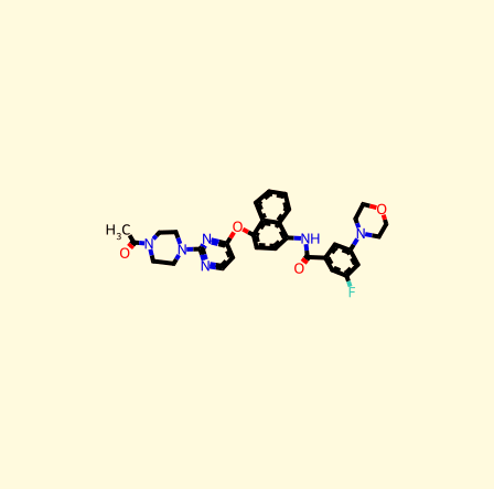 CC(=O)N1CCN(c2nccc(Oc3ccc(NC(=O)c4cc(F)cc(N5CCOCC5)c4)c4ccccc34)n2)CC1